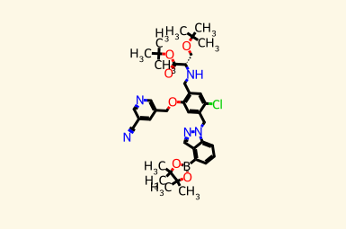 CC(C)(C)OC[C@H](NCc1cc(Cl)c(Cn2ncc3c(B4OC(C)(C)C(C)(C)O4)cccc32)cc1OCc1cncc(C#N)c1)C(=O)OC(C)(C)C